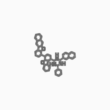 c1ccc(C2NC(c3ccc4ccccc4c3)NC(c3ccc(-c4cccc5c4oc4cc6ccccc6cc45)c4oc5ccccc5c34)N2)cc1